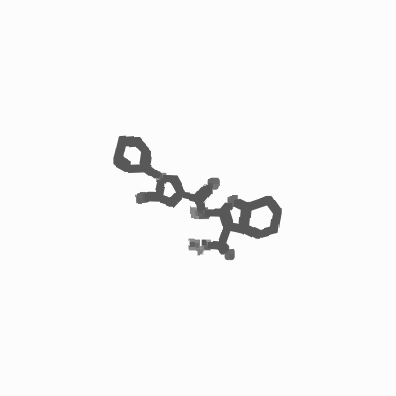 NC(=O)c1c(NC(=O)[C@H]2CC(=O)N(c3ccccc3)C2)sc2c1CCCC2